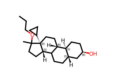 CCCOC1(C)CC[C@H]2C3CC[C@H]4C[C@H](O)CC[C@@H]4[C@H]3CC[C@@]21C1CC1